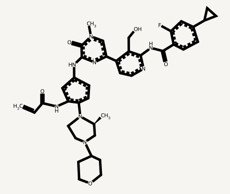 C=CC(=O)Nc1cc(Nc2nc(-c3ccnc(NC(=O)c4ccc(C5CC5)cc4F)c3CO)cn(C)c2=O)ccc1N1CCN(C2CCOCC2)C[C@@H]1C